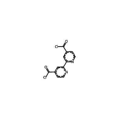 O=C(Cl)c1ccnc(-c2cc(C(=O)Cl)ccn2)c1